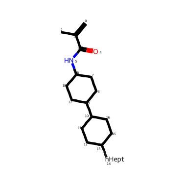 C=C(C)C(=O)NC1CCC(C2CCC(CCCCCCC)CC2)CC1